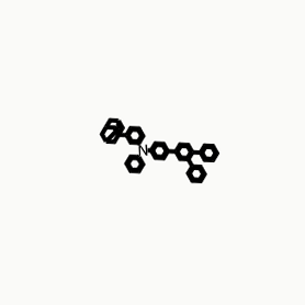 c1ccc(-c2ccc(-c3ccc(N(c4ccccc4)c4cccc(C56CC7CC(CC(C7)C5)C6)c4)cc3)cc2-c2ccccc2)cc1